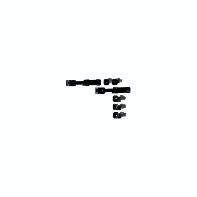 [Ca+2].[Ca+2].[Ca+2].[O-2].[O-2].[O]=[Al][OH].[O]=[Al][OH]